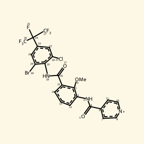 COc1c(NC(=O)c2ccncc2)cccc1C(=O)Nc1c(Cl)cc(C(F)(C(F)(F)F)C(F)(F)F)cc1Br